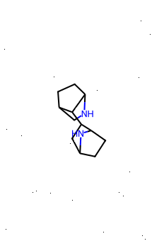 C1CC2NC1CC2C1C2CCC1NC2